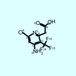 Nc1cc(Cl)nc(CC(=O)O)c1C(F)(F)F